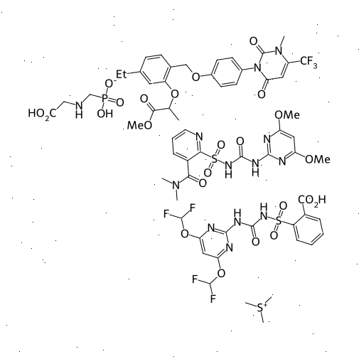 CCc1ccc(COc2ccc(-n3c(=O)cc(C(F)(F)F)n(C)c3=O)cc2)c(OC(C)C(=O)OC)c1.COc1cc(OC)nc(NC(=O)NS(=O)(=O)c2ncccc2C(=O)N(C)C)n1.C[S+](C)C.O=C(Nc1nc(OC(F)F)cc(OC(F)F)n1)NS(=O)(=O)c1ccccc1C(=O)O.O=C(O)CNCP(=O)([O-])O